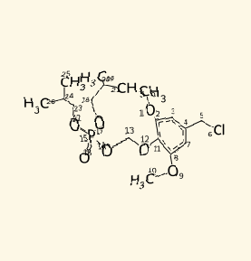 COc1cc(CCl)cc(OC)c1OCOP(=O)(OCC(C)C)OCC(C)C